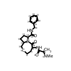 CNC(C)C(=O)NC1CCCCC2CCC(C(=O)NCc3ccccc3)N2C1=O